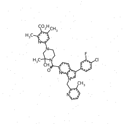 Cc1cccnc1Cn1cc(-c2ccc(Cl)c(F)c2)c2ccc(C(=O)N3CCN(c4cc(C)c(C(=O)O)c(C)n4)CC3(C)C)nc21